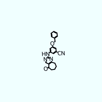 N#Cc1cc(Nc2ncc3c(n2)CCCCC3=O)cc(OCc2ccccc2)c1